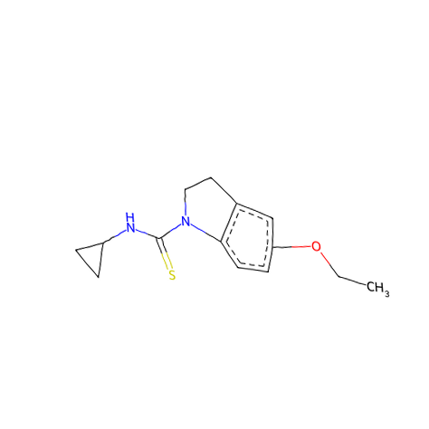 CCOc1ccc2c(c1)CCN2C(=S)NC1CC1